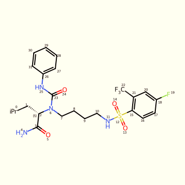 CC(C)C[C@@H](C(N)=O)N(CCCCNS(=O)(=O)c1ccc(F)cc1C(F)(F)F)C(=O)Nc1ccccc1